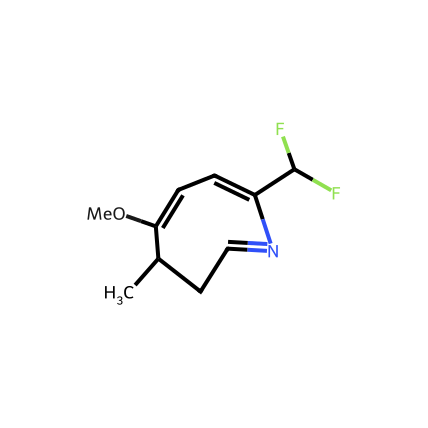 CO/C1=C/C=C(C(F)F)\N=C\CC1C